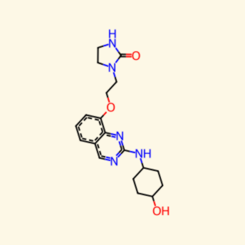 O=C1NCCN1CCOc1cccc2cnc(NC3CCC(O)CC3)nc12